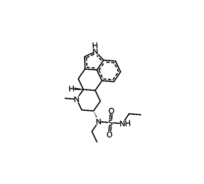 CCNS(=O)(=O)N(CC)[C@H]1CC2c3cccc4[nH]cc(c34)C[C@H]2N(C)C1